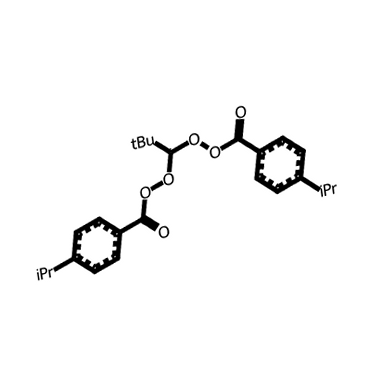 [CH2]C(C)(C)[C](OOC(=O)c1ccc(C(C)C)cc1)OOC(=O)c1ccc(C(C)C)cc1